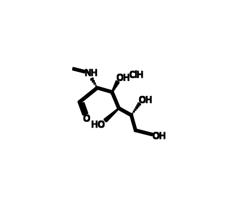 CN[C@@H](C=O)[C@@H](O)[C@H](O)[C@H](O)CO.Cl